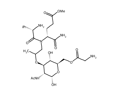 COC(=O)CC[C@H](C(N)=O)N(CC(C)O[C@H]1[C@H](O)[C@@H](COC(=O)CN)O[C@H](O)[C@@H]1NC(C)=O)C(=O)[C@@H](N)C(C)C